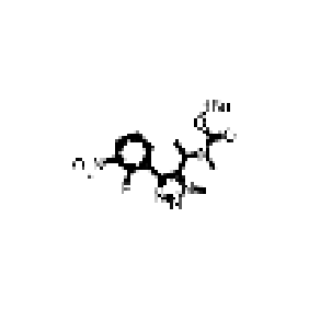 CC(c1c(-c2cccc([N+](=O)[O-])c2F)nnn1C)N(C)C(=O)OC(C)(C)C